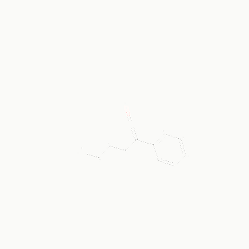 O=C=C(CCCS(=O)(=O)O)c1ccccc1